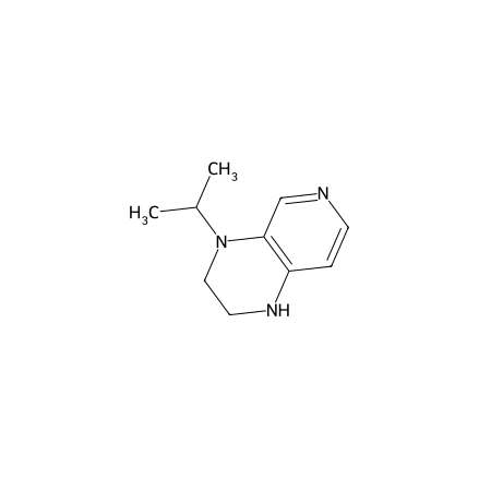 CC(C)N1CCNc2ccncc21